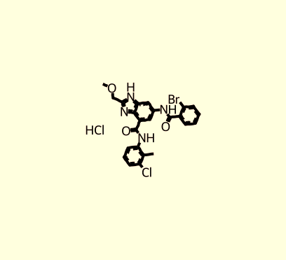 COCc1nc2c(C(=O)Nc3cccc(Cl)c3C)cc(NC(=O)c3ccccc3Br)cc2[nH]1.Cl